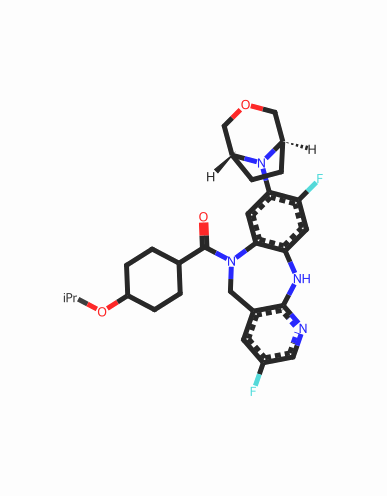 CC(C)OC1CCC(C(=O)N2Cc3cc(F)cnc3Nc3cc(F)c(N4[C@@H]5CC[C@@H]4COC5)cc32)CC1